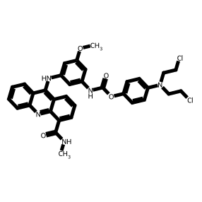 CNC(=O)c1cccc2c(Nc3cc(NC(=O)Oc4ccc(N(CCCl)CCCl)cc4)cc(OC)c3)c3ccccc3nc12